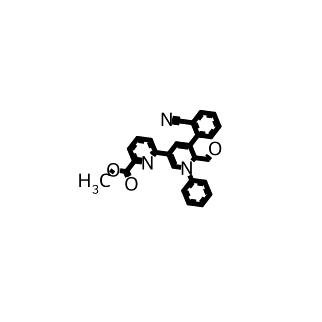 COC(=O)c1cccc(C2=CN(c3ccccc3)C(C=O)C(c3ccccc3C#N)=C2)n1